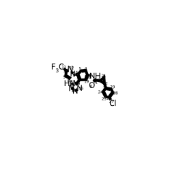 O=C(Nc1ccc(-n2ccc(C(F)(F)F)n2)c(-c2nnn[nH]2)c1)C1CC1c1ccc(Cl)cc1